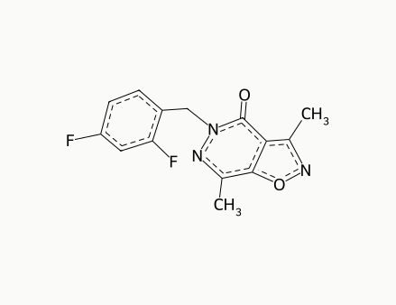 Cc1nn(Cc2ccc(F)cc2F)c(=O)c2c(C)noc12